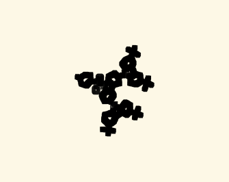 CC1C=CC(S(=O)(=O)n2c3ccc(-n4c5ccc(C(C)(C)C)cc5c5cc(C(C)(C)C)ccc54)cc3c3cc(-n4c5ccc(C(C)(C)C)cc5c5cc(C(C)(C)C)ccc54)ccc32)=CC1